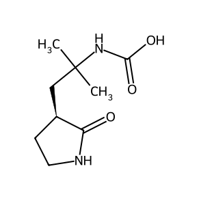 CC(C)(C[C@@H]1CCNC1=O)NC(=O)O